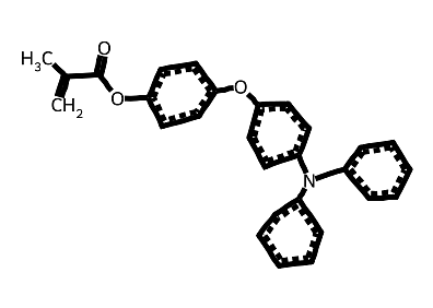 C=C(C)C(=O)Oc1ccc(Oc2ccc(N(c3ccccc3)c3ccccc3)cc2)cc1